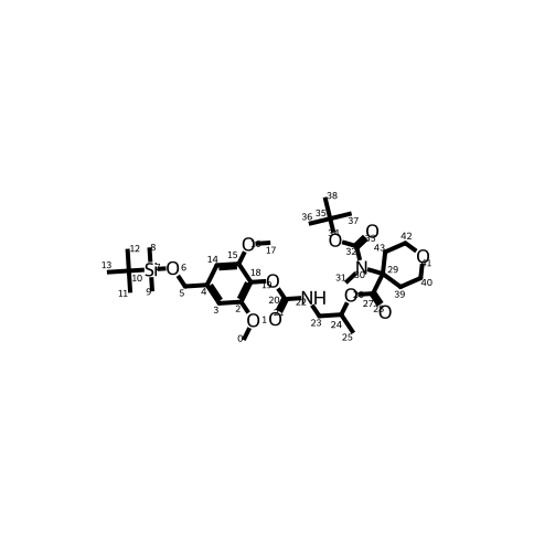 COc1cc(CO[Si](C)(C)C(C)(C)C)cc(OC)c1OC(=O)NCC(C)OC(=O)C1(N(C)C(=O)OC(C)(C)C)CCOCC1